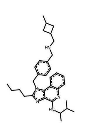 CCCCc1nc2c(NC(C)C(C)C)nc3ccccc3c2n1Cc1ccc(CNCC2CC(C)C2)cc1